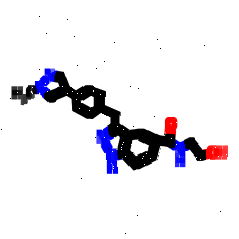 Cn1cc(-c2ccc(Cc3n[nH]c4ccc(C(=O)NCCO)cc34)cc2)cn1